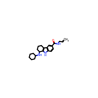 C=CCNC(=O)c1ccc2[nH]c3c(c2c1)CCCC3NC1CCCCC1